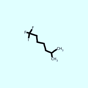 CC(C)CCCCC(F)(F)I